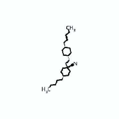 CCCCC[C@H]1CC[C@H](CC[C@]2(C#N)CC[C@H](CCCCC)CC2)CC1